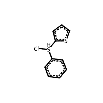 Cl[SH](c1ccccc1)c1cccs1